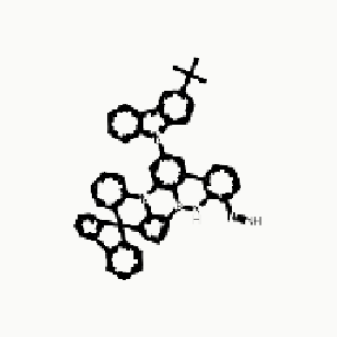 CC(C)(C)c1ccc2c(c1)c1ccccc1n2-c1cc2c3c(c1)N1c4ccccc4C4(c5ccccc5-c5ccccc54)c4cccc(c41)B3Nc1c(N=N)cccc1-2